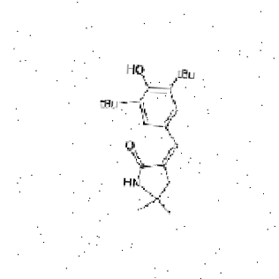 CC1(C)CC(=Cc2cc(C(C)(C)C)c(O)c(C(C)(C)C)c2)C(=O)N1